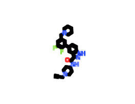 C#CCN1CCC(NC(=O)c2n[nH]c3ccc(-c4cc(CN5CCCCC5)cc(F)c4F)cc23)CC1